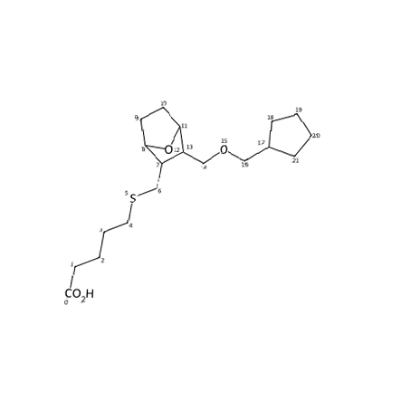 O=C(O)CCCCSCC1C2CCC(O2)C1COCC1CCCC1